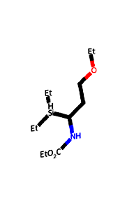 CCOCCC(NC(=O)OCC)[SiH](CC)CC